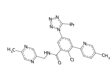 Cc1ccc(-c2cc(-n3nnnc3C(C)C)cc(C(=O)NCc3cnc(C)cn3)c2Cl)nc1